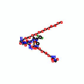 COCCOCCOCCOCCOCCOCCOCCOCCOCCOCCOCCOCCC(=O)N[C@@H](C)C(=O)N[C@H](C)C(=O)N[C@@H](CC(N)=O)C(=O)NCCCN(C(=O)CSC[C@H](NC(=O)CCOCCOCCOCCOCCNC(=O)CN1C(=O)C=CC1=O)C(=O)O)[C@@H](c1cc(-c2cc(F)ccc2F)cn1Cc1ccccc1)C(C)(C)C